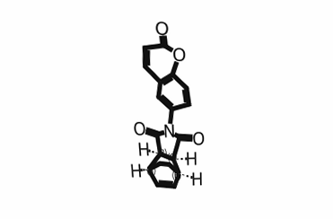 O=C1[C@@H]2[C@H](C(=O)N1c1ccc3oc(=O)ccc3c1)[C@@H]1C=C[C@H]2CC1